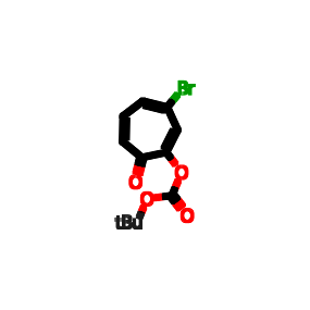 CC(C)(C)OC(=O)Oc1cc(Br)cccc1=O